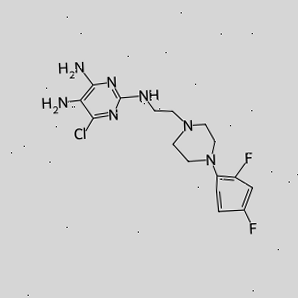 Nc1nc(NCCN2CCN(c3ccc(F)cc3F)CC2)nc(Cl)c1N